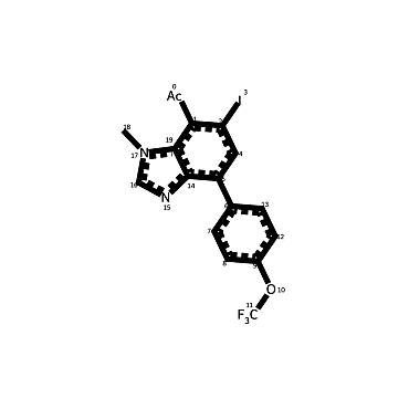 CC(=O)c1c(I)cc(-c2ccc(OC(F)(F)F)cc2)c2ncn(C)c12